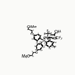 COCCOc1ccc(S(OS(=O)(=O)C(F)(F)C(O)C(F)(F)F)(c2ccc(F)cc2)c2ccc(OCCOC)cc2)cc1